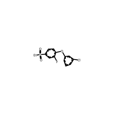 CCS(=O)(=O)c1ccc(Oc2c[c]cc(Cl)c2)c(F)c1